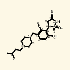 CC(C)CCN1CCN(Cc2ccc(O)c(N3CC(=O)NS3(=O)=O)c2F)CC1